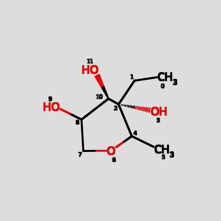 CC[C@@]1(O)C(C)OCC(O)[C@H]1O